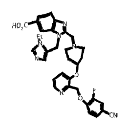 CCn1cncc1Cn1c(CN2CCC(Oc3cccnc3COc3ccc(C#N)cc3F)CC2)nc2ccc(C(=O)O)cc21